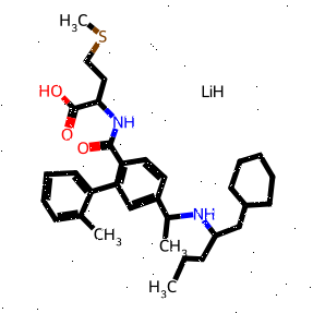 CCCC(CC1CCCCC1)NC(C)c1ccc(C(=O)NC(CCSC)C(=O)O)c(-c2ccccc2C)c1.[LiH]